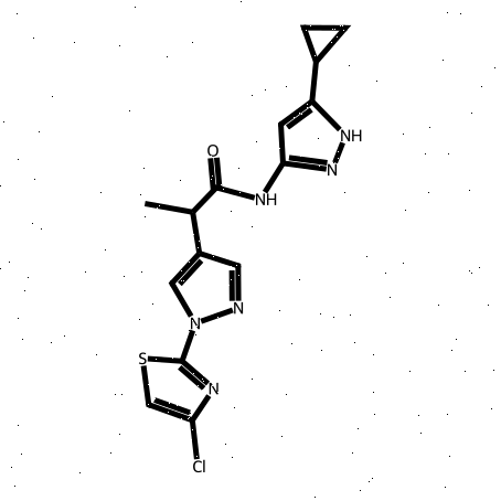 CC(C(=O)Nc1cc(C2CC2)[nH]n1)c1cnn(-c2nc(Cl)cs2)c1